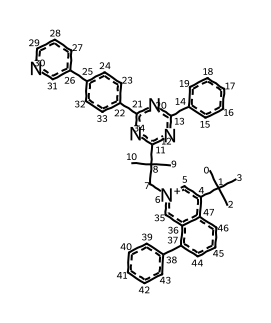 CC(C)(C)c1c[n+](CC(C)(C)c2nc(-c3ccccc3)nc(-c3ccc(-c4cccnc4)cc3)n2)cc2c(-c3ccccc3)cccc12